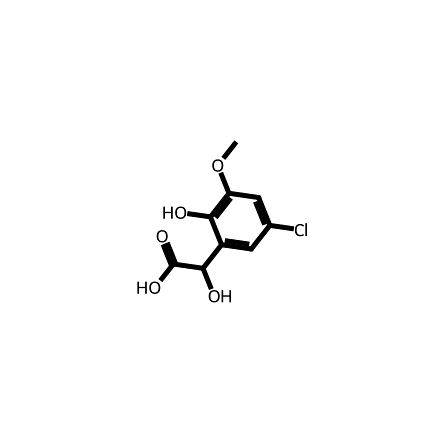 COc1cc(Cl)cc(C(O)C(=O)O)c1O